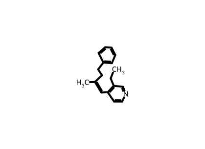 CCc1cnccc1C=C(C)CCc1ccccc1